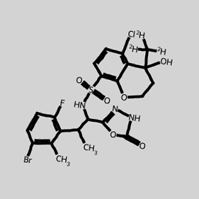 [2H]C([2H])([2H])C1(O)CCOc2c(S(=O)(=O)NC(c3n[nH]c(=O)o3)C(C)c3c(F)ccc(Br)c3C)ccc(Cl)c21